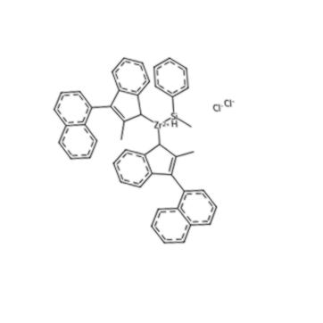 CC1=C(c2cccc3ccccc23)c2ccccc2[CH]1[Zr+2]([CH]1C(C)=C(c2cccc3ccccc23)c2ccccc21)[SiH](C)c1ccccc1.[Cl-].[Cl-]